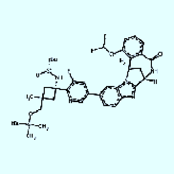 CC(C)(C)[S@@+]([O-])N[C@]1(c2ncc(-c3ccc4nc5n(c4c3)[C@@H]3C[C@@H]5NC(=O)c4cccc(OC(F)F)c43)cc2F)C[C@](C)(CO[Si](C)(C)C(C)(C)C)C1